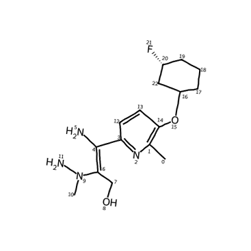 Cc1nc(/C(N)=C(\CO)N(C)N)ccc1OC1CCC[C@@H](F)C1